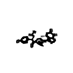 CC(C)NC[C@@H](C(=O)N1CCN(c2ncnc3c2[C@H](C)CC(=O)N3)[C@@H]2C[C@@H]21)c1ccc(Cl)cc1